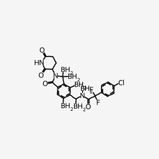 Bc1cc2c(c(B)c1C(B)N(B)C(=O)C(F)(F)c1ccc(Cl)cc1)C(B)(B)N(C1CCC(=O)NC1=O)C2=O